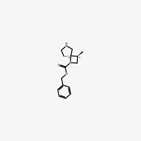 C[C@H]1CN(C(=O)OCc2ccccc2)[C@]12CCNC2